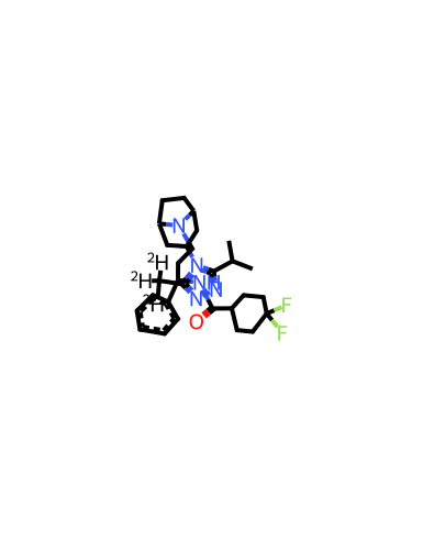 [2H]C([2H])([2H])c1nnc(C(C)C)n1C1CC2CCC(C1)N2CCC(NC(=O)C1CCC(F)(F)CC1)c1ccccc1